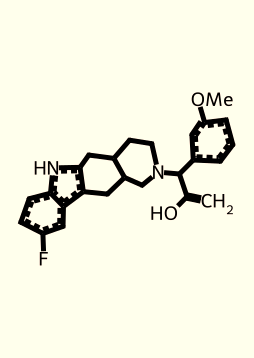 C=C(O)C(c1cccc(OC)c1)N1CCC2Cc3[nH]c4ccc(F)cc4c3CC2C1